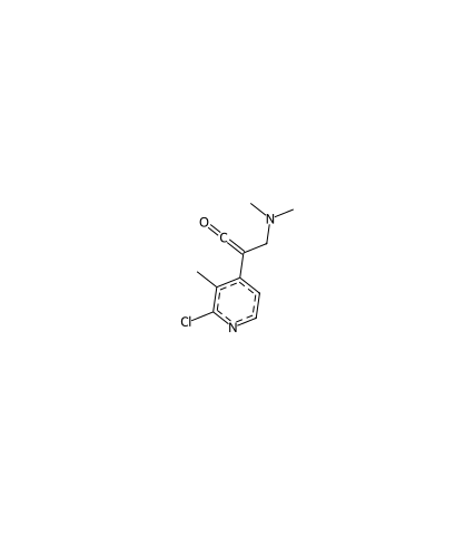 Cc1c(C(=C=O)CN(C)C)ccnc1Cl